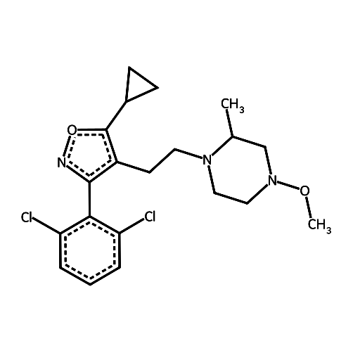 CON1CCN(CCc2c(-c3c(Cl)cccc3Cl)noc2C2CC2)C(C)C1